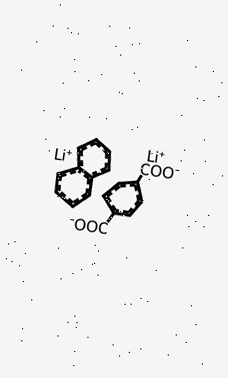 O=C([O-])c1ccc(C(=O)[O-])cc1.[Li+].[Li+].c1ccc2ccccc2c1